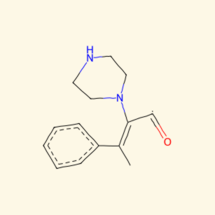 CC(=C([C]=O)N1CCNCC1)c1ccccc1